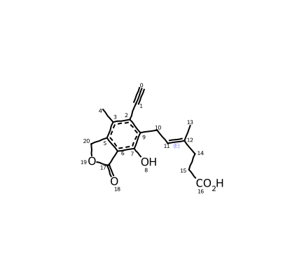 C#Cc1c(C)c2c(c(O)c1C/C=C(\C)CCC(=O)O)C(=O)OC2